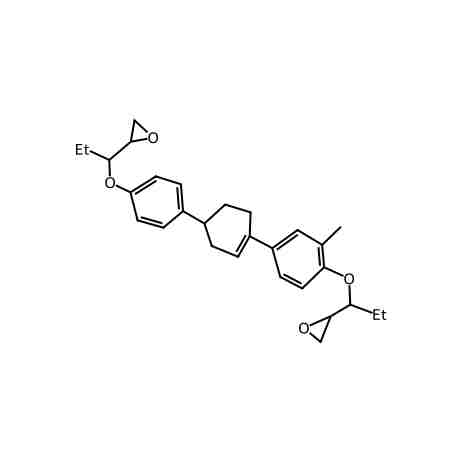 CCC(Oc1ccc(C2CC=C(c3ccc(OC(CC)C4CO4)c(C)c3)CC2)cc1)C1CO1